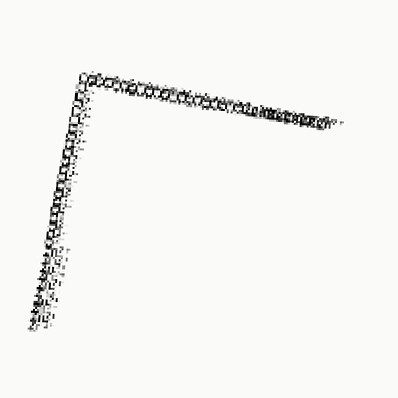 [O-2].[O-2].[O-2].[O-2].[O-2].[O-2].[O-2].[O-2].[O-2].[O-2].[O-2].[O-2].[O-2].[O-2].[O-2].[O-2].[O-2].[O-2].[O-2].[O-2].[O-2].[O-2].[O-2].[O-2].[O-2].[O-2].[O-2].[O-2].[O-2].[O-2].[O-2].[O-2].[O-2].[O-2].[O-2].[O-2].[O-2].[O-2].[O-2].[O-2].[Zn+2].[Zn+2].[Zn+2].[Zn+2].[Zn+2].[Zn+2].[Zn+2].[Zn+2].[Zn+2].[Zn+2].[Zn+2].[Zn+2].[Zn+2].[Zn+2].[Zn+2].[Zn+2].[Zn+2].[Zn+2].[Zn+2].[Zn+2]